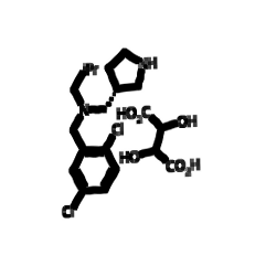 CC(C)CN(Cc1cc(Cl)ccc1Cl)C[C@@H]1CCNC1.O=C(O)C(O)C(O)C(=O)O